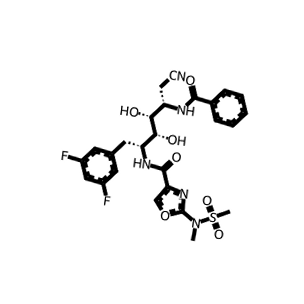 CN(c1nc(C(=O)N[C@H](Cc2cc(F)cc(F)c2)[C@@H](O)[C@H](O)[C@H](CC#N)NC(=O)c2ccccc2)co1)S(C)(=O)=O